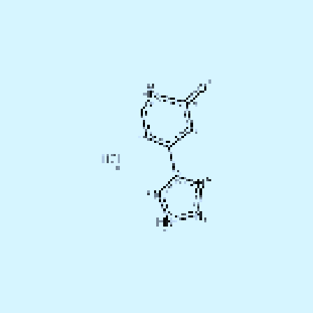 Cl.O=c1cc(-c2nn[nH]n2)cc[nH]1